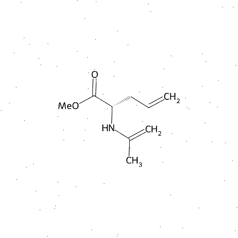 C=CC[C@H](NC(=C)C)C(=O)OC